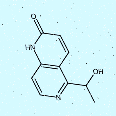 CC(O)c1nccc2[nH]c(=O)ccc12